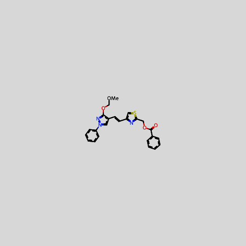 COCOc1nn(-c2ccccc2)cc1/C=C/c1csc(COC(=O)c2ccccc2)n1